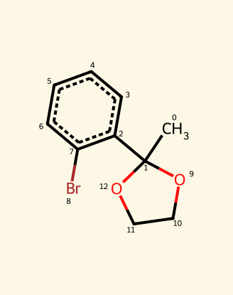 CC1(c2ccccc2Br)OCCO1